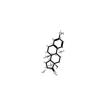 C[C@]12CC[C@@H]3c4ccc(O)cc4CC[C@H]3[C@@H]1C[C@@H](I)C2=O